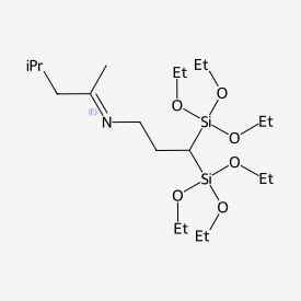 CCO[Si](OCC)(OCC)C(CC/N=C(\C)CC(C)C)[Si](OCC)(OCC)OCC